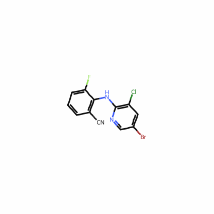 N#Cc1cccc(F)c1Nc1ncc(Br)cc1Cl